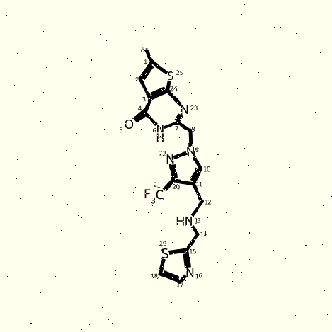 Cc1cc2c(=O)[nH]c(Cn3cc(CNCc4nccs4)c(C(F)(F)F)n3)nc2s1